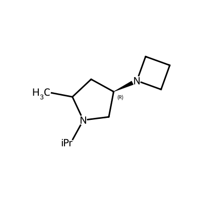 CC(C)N1C[C@H](N2CCC2)CC1C